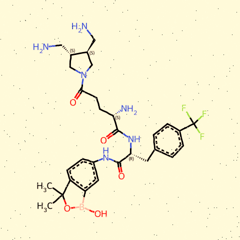 CC1(C)OB(O)c2cc(NC(=O)[C@@H](Cc3ccc(C(F)(F)F)cc3)NC(=O)[C@@H](N)CCC(=O)N3C[C@H](CN)[C@@H](CN)C3)ccc21